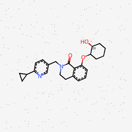 O=C1c2c(cccc2OC2CCCC[C@@H]2O)CCN1Cc1ccc(C2CC2)nc1